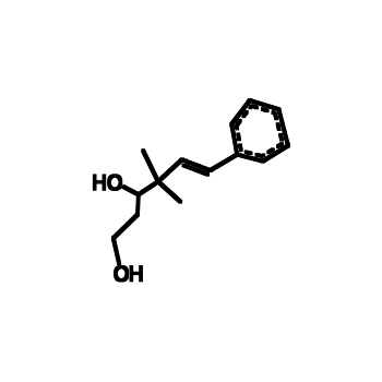 CC(C)(C=Cc1ccccc1)C(O)CCO